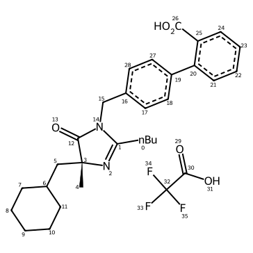 CCCCC1=N[C@](C)(CC2CCCCC2)C(=O)N1Cc1ccc(-c2ccccc2C(=O)O)cc1.O=C(O)C(F)(F)F